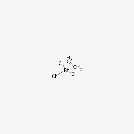 C=C.[Cl][Rh]([Cl])[Cl]